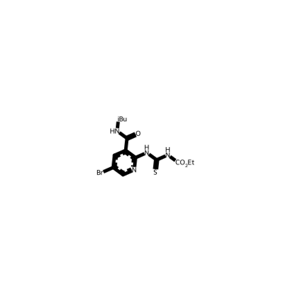 CCOC(=O)NC(=S)Nc1ncc(Br)cc1C(=O)NC(C)CC